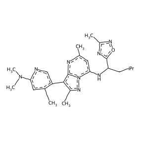 Cc1cc(NC(CC(C)C)c2nc(C)no2)n2nc(C)c(-c3cnc(N(C)C)cc3C)c2n1